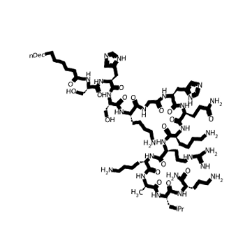 CCCCCCCCCCCCCCCC(=O)N[C@@H](CO)C(=O)N[C@@H](Cc1cnc[nH]1)C(=O)N[C@@H](CO)C(=O)N[C@@H](CCCCN)C(=O)NCC(=O)N[C@@H](Cc1cnc[nH]1)C(=O)N[C@@H](CCC(N)=O)C(=O)N[C@@H](CCCCN)C(=O)N[C@@H](CCCNC(=N)N)C(=O)N[C@@H](CCCCN)C(=O)N[C@@H](C)C(=O)N[C@@H](CC(C)C)C(=O)N[C@@H](CCCN)C(N)=O